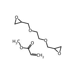 C(COCC1CO1)OCC1CO1.C=CC(=O)OC